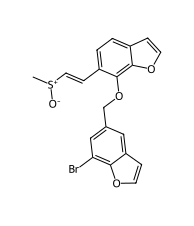 C[S+]([O-])/C=C/c1ccc2ccoc2c1OCc1cc(Br)c2occc2c1